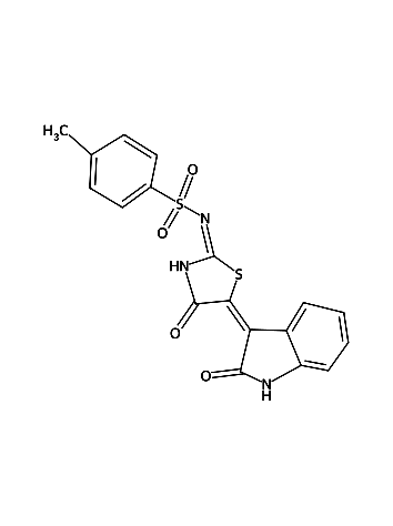 Cc1ccc(S(=O)(=O)/N=C2\NC(=O)/C(=C3\C(=O)Nc4ccccc43)S2)cc1